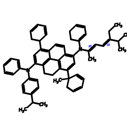 CC/C(=C\C=C(/C)N(C1=CC=CCC1)c1cc(C2(C)C=CC=CC2)c2c3c1ccc1c(C4C=CC=CC4)cc(N(c4ccccc4)c4ccc(C(C)C)cc4)c(c13)CC2)C(C)C